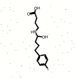 O=C(O)CCCNC(O)CCCc1ccc(I)cc1